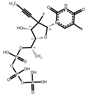 CC#CC1(F)[C@@H](O)[C@@H]([C@H](C)OP(=O)(O)OP(=O)(O)OP(=O)(O)O)O[C@H]1n1cc(F)c(=O)[nH]c1=O